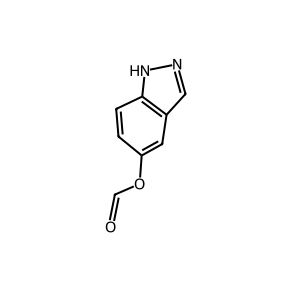 O=COc1ccc2[nH]ncc2c1